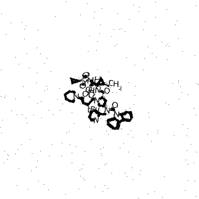 C=C[C@@H]1C[C@]1(NC(=O)[C@@H]1C[C@@H](N(Cc2ccccn2)C(=O)n2c3ccccc3c3ccccc32)CN1C(=O)[C@@H](CC(=O)N1CCCCC1)C(C)(C)C)C(=O)NS(=O)(=O)C1CC1